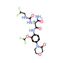 NC(=O)[C@@H](NC(=O)NCC(F)F)C(=O)Nc1ccc(N2CCOCC2=O)cc1OC(F)F